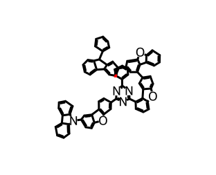 c1ccc(-c2nc(-c3ccc4c(c3)oc3ccc(-n5c6ccccc6c6ccccc65)cc34)nc(-c3cccc4oc5ccc(-c6cc(-c7ccc8c(c7)C(c7ccccc7)c7ccccc7-8)cc7oc8ccccc8c67)cc5c34)n2)cc1